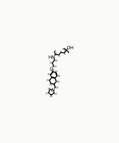 CC(CCCC(C)(C)O)NCCCOc1ccc2c(c1)CCC(CN1CCCC1)C2